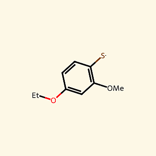 CCOc1ccc([S])c(OC)c1